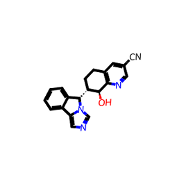 N#Cc1cnc2c(c1)CC[C@@H](C1c3ccccc3-c3cncn31)[C@@H]2O